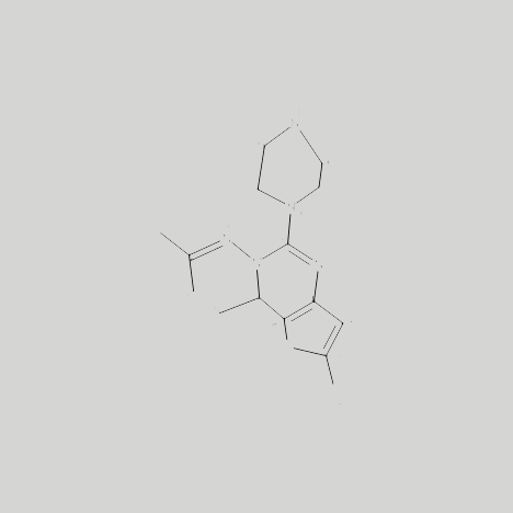 CC(C)=NN1C(N2CCNCC2)=Nc2cc(Cl)sc2C1C